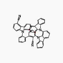 N#Cc1c(-c2ccccc2-n2c3ccccc3c3c(C#N)cccc32)cccc1-n1c2ccccc2c2cccc(-n3c4ccccc4c4ccccc43)c21